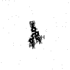 OC(CN1c2cccc(-c3ccc(OC(F)(F)F)cc3)c2CCC1c1cccc(OC(F)F)c1)C(F)(F)F